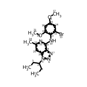 CCC(CC)n1nnc2c(Nc3c(Br)cc(OC)cc3OC)nc(C)cc21